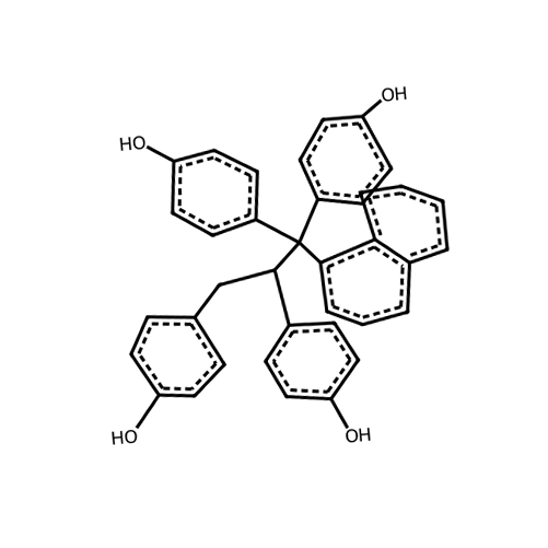 Oc1ccc(CC(c2ccc(O)cc2)C(c2ccc(O)cc2)(c2ccc(O)cc2)c2cccc3ccccc23)cc1